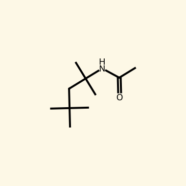 CC(=O)NC(C)(C)CC(C)(C)C